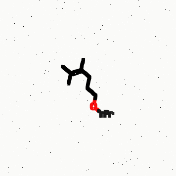 CC[CH]OCCCC(C)=C(C)C